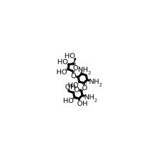 NC1C(O)[C@H](O)C(CO)O[C@@H]1O[C@@H]1C(N)C[C@@H](N)C(O[C@@H]2O[C@H](CO)C(O)[C@@H]2O)C1O